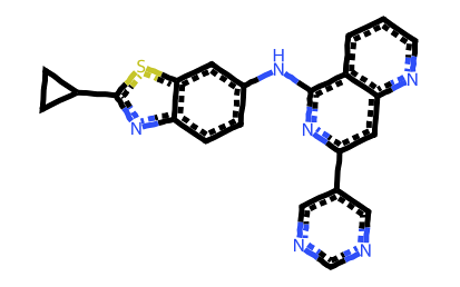 c1cnc2cc(-c3cncnc3)nc(Nc3ccc4nc(C5CC5)sc4c3)c2c1